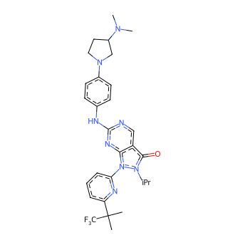 CC(C)n1c(=O)c2cnc(Nc3ccc(N4CCC(N(C)C)C4)cc3)nc2n1-c1cccc(C(C)(C)C(F)(F)F)n1